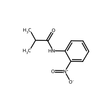 CC(C)C(=O)Nc1ccccc1[N+](=O)[O-]